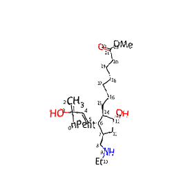 CCCCCC(C)(O)C=C[C@H]1[C@H](CNCC)C[C@@H](O)[C@@H]1CCCCCCC(=O)OC